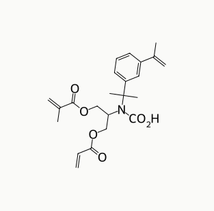 C=CC(=O)OCC(COC(=O)C(=C)C)N(C(=O)O)C(C)(C)c1cccc(C(=C)C)c1